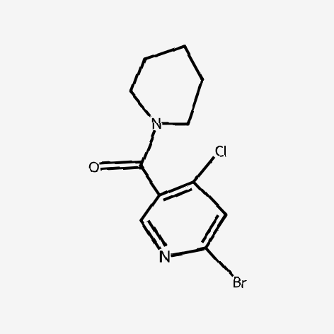 O=C(c1cnc(Br)cc1Cl)N1CCCCC1